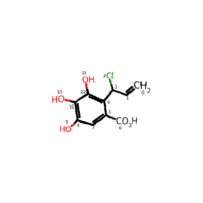 C=CC(Cl)c1c(C(=O)O)cc(O)c(O)c1O